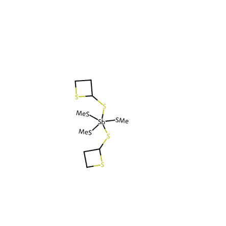 C[S][Sb]([S]C)([S]C)([S]C1CCS1)[S]C1CCS1